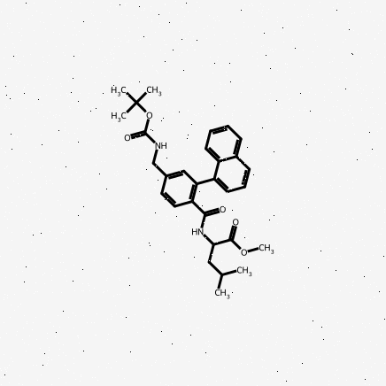 COC(=O)C(CC(C)C)NC(=O)c1ccc(CNC(=O)OC(C)(C)C)cc1-c1cccc2ccccc12